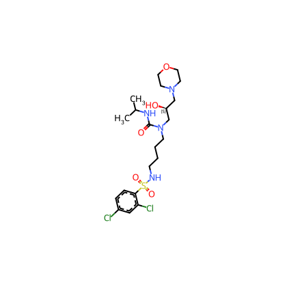 CC(C)NC(=O)N(CCCCNS(=O)(=O)c1ccc(Cl)cc1Cl)C[C@@H](O)CN1CCOCC1